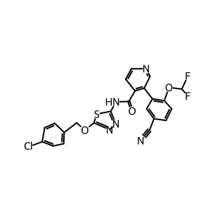 N#Cc1ccc(OC(F)F)c(-c2cnccc2C(=O)Nc2nnc(OCc3ccc(Cl)cc3)s2)c1